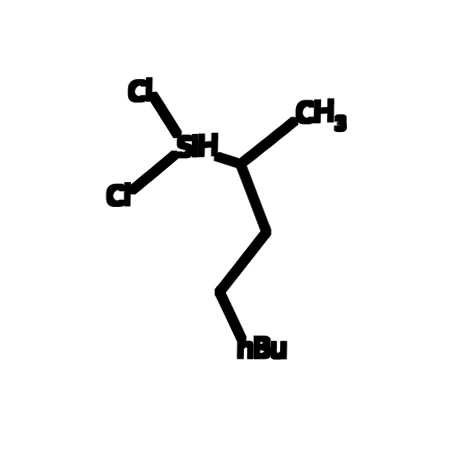 CCCCCCC(C)[SiH](Cl)Cl